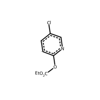 CCOC(=O)Oc1[c]cc(Cl)cn1